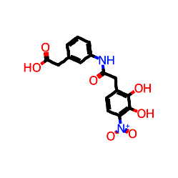 O=C(O)Cc1cccc(NC(=O)Cc2ccc([N+](=O)[O-])c(O)c2O)c1